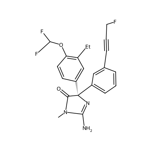 CCc1cc([C@]2(c3cccc(C#CCF)c3)N=C(N)N(C)C2=O)ccc1OC(F)F